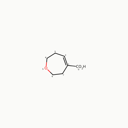 O=C(O)C1=CCCOCC1